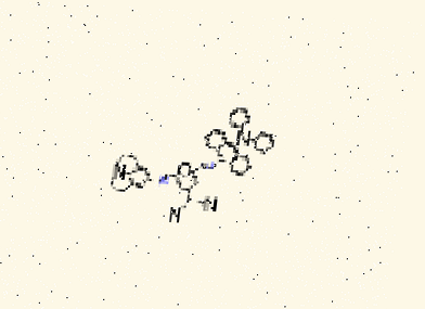 N#CC(C#N)=C1C=C(/C=C/c2cc3c4c(c2)CCCN4CCC3)OC(/C=C/c2c3ccccc3c(N(c3ccccc3)c3ccccc3)c3ccccc23)=C1